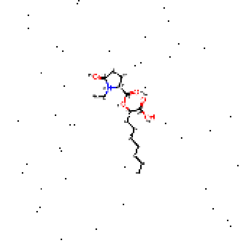 CCCCCCCC(OC(=O)[C@@H]1CCC(=O)N1CC)C(=O)O